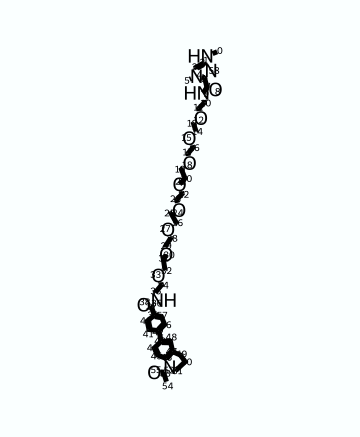 CNc1cn(C)c(C(=O)NCCOCCOCCOCCOCCOCCOCCOCCOCCNC(=O)c2ccc(-c3ccc4c(c3)CCCN4C(C)=O)cc2)n1